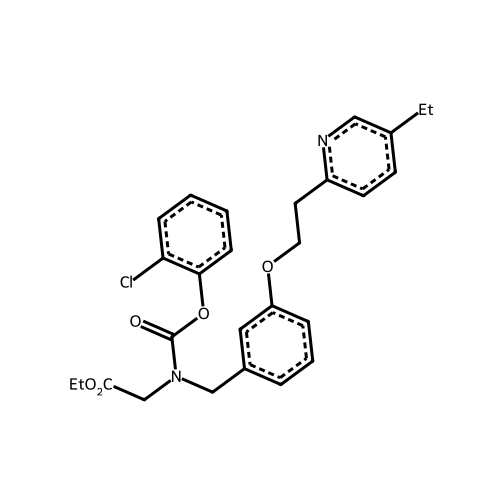 CCOC(=O)CN(Cc1cccc(OCCc2ccc(CC)cn2)c1)C(=O)Oc1ccccc1Cl